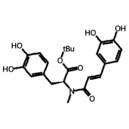 CN(C(=O)C=Cc1ccc(O)c(O)c1)[C@@H](Cc1ccc(O)c(O)c1)C(=O)OC(C)(C)C